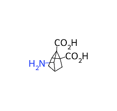 NC1C2CC3C(C(=O)O)(C2)C13C(=O)O